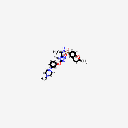 C=C1CCc2cc(S(=O)(=O)N[C@H](C)c3nnc(Oc4cccc(N5CCN(C)CC5)c4)n3CC)ccc2O1